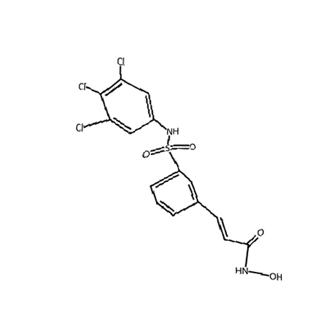 O=C(/C=C/c1cccc(S(=O)(=O)Nc2cc(Cl)c(Cl)c(Cl)c2)c1)NO